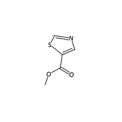 COC(=O)c1cn[c]s1